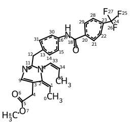 CC=C1C(CC(=O)OC)=CN=C(Cc2ccc(NC(=O)c3ccc(C(F)(F)F)cc3)cc2)N1/C=C\C